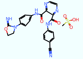 CS(=O)(=O)O.N#Cc1ccc(NC(=O)c2nccnc2C(=O)Nc2ccc(N3CCOC3=N)cc2)cc1